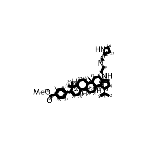 C=C(C)[C@@H]1CC[C@]2(NCCN=C=C3CCN3)CC[C@]3(C)[C@H](CC[C@@H]4[C@@]5(C)CC=C(c6ccc(C(=O)OC)cc6)C(C)(C)[C@@H]5CC[C@]43C)[C@@H]12